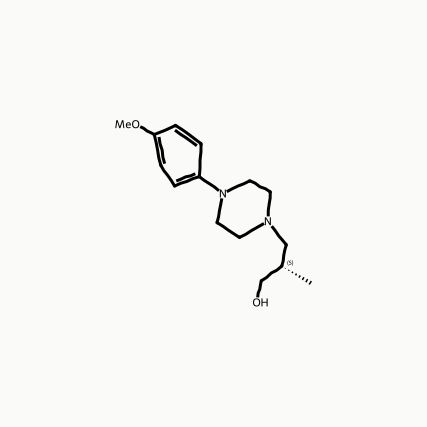 COc1ccc(N2CCN(C[C@H](C)CO)CC2)cc1